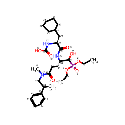 CCOP(=O)(OCC)C(O)[C@H](CCC(=O)N(C)CC(C)c1ccccc1)NC(=O)[C@H](CC1CCCCC1)NC(=O)O